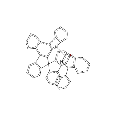 c1ccc(-c2nc(-n3c4ccccc4c4c5ccccc5c5c(c43)C3(c4ccccc4-c4ccccc43)c3ccccc3-5)nc3ccccc23)cc1